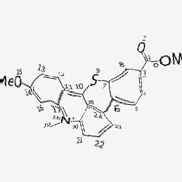 COC(=O)c1ccc2c(c1)Sc1c3ccc(OC)cc3[n+](C)c3cccc-2c13